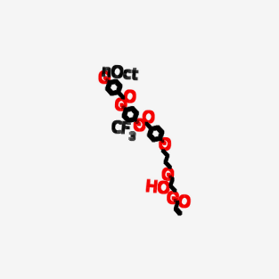 C=CC(=O)OCC(O)COCCCCOc1ccc(C(=O)Oc2ccc(OC(=O)c3ccc(OCCCCCCCC)cc3)cc2C(F)(F)F)cc1